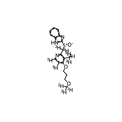 [2H]c1nc(C([2H])([2H])[S+]([O-])c2nc3ccccc3[nH]2)c(C([2H])([2H])[2H])c(OCCCOC([2H])([2H])[2H])c1[2H]